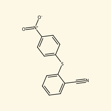 N#Cc1ccccc1Sc1ccc([N+](=O)[O-])cc1